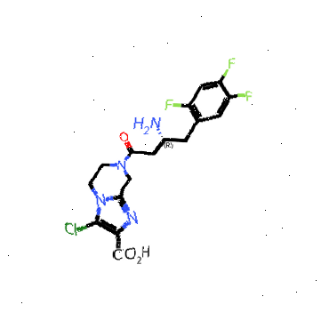 N[C@@H](CC(=O)N1CCn2c(nc(C(=O)O)c2Cl)C1)Cc1cc(F)c(F)cc1F